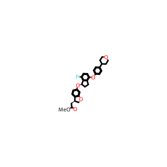 COC(=O)C[C@@H]1COc2cc(O[C@@H]3CCc4c(Oc5ccc(C6CCOCC6)cc5)ccc(F)c43)ccc21